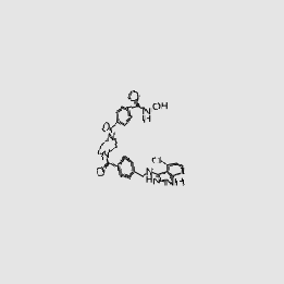 O=C(NO)c1ccc(C(=O)N2CCN(C(=O)c3ccc(CNc4n[nH]c5cccc(Cl)c45)cc3)CC2)cc1